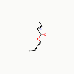 C/C=C/C(=O)OC=C=CCC